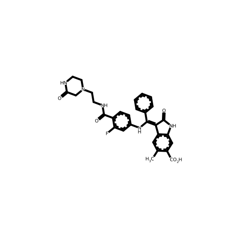 Cc1cc2c(cc1C(=O)O)NC(=O)/C2=C(/Nc1ccc(C(=O)NCCN2CCNC(=O)C2)c(F)c1)c1ccccc1